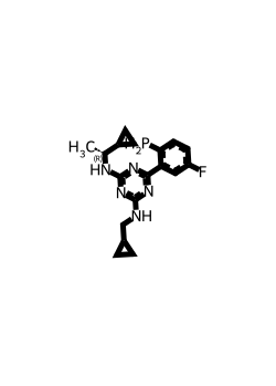 C[C@@H](Nc1nc(NCC2CC2)nc(-c2cc(F)ccc2P)n1)C1CC1